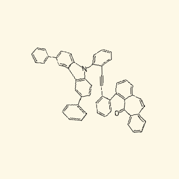 O=c1c2ccccc2ccc2cccc(-c3ccccc3C#Cc3ccccc3-n3c4ccc(-c5ccccc5)cc4c4cc(-c5ccccc5)ccc43)c12